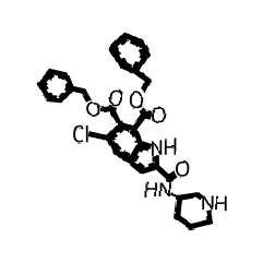 O=C(N[C@@H]1CCCNC1)c1cc2cc(Cl)c(C(=O)OCc3ccccc3)c(C(=O)OCc3ccccc3)c2[nH]1